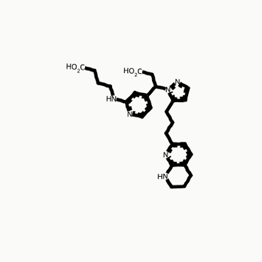 O=C(O)CCCNc1cc(C(CC(=O)O)n2nccc2CCCc2ccc3c(n2)NCCC3)ccn1